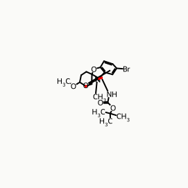 COC1CCC2(CC1)Oc1ccc(Br)cc1C21N=C(NC(=O)OC(C)(C)C)N(C)C1=O